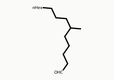 CCCCCCCCCC(C)CCCCC=O